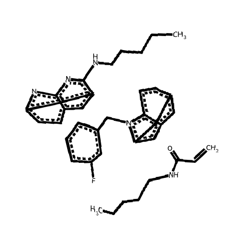 C=CC(=O)NCCCCC.CCCCCNc1nc2nc3ccc2cc13.Fc1cccc(Cn2c3cc4cc-3ccc42)c1